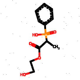 CC(C(=O)OCCO)P(=O)(O)c1ccccc1